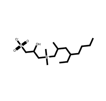 CCCCC(CC)CC(C)C[N+](C)(C)CC(O)CS(=O)(=O)[O-]